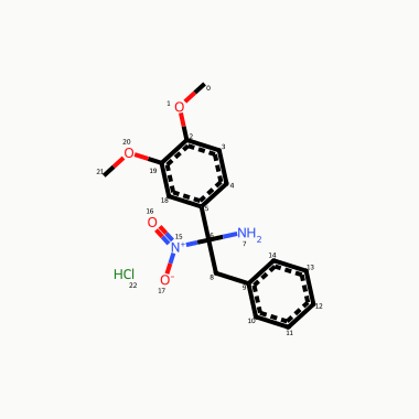 COc1ccc(C(N)(Cc2ccccc2)[N+](=O)[O-])cc1OC.Cl